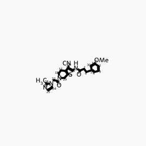 COc1cccc(CCC(=O)Nc2sc3c(c2C#N)CCN(C(=O)Cn2ccnc2C)C3)c1